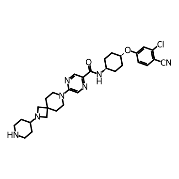 N#Cc1ccc(O[C@H]2CC[C@H](NC(=O)c3cnc(N4CCC5(CC4)CN(C4CCNCC4)C5)cn3)CC2)cc1Cl